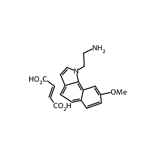 COc1ccc2ccc3ccn(CCN)c3c2c1.O=C(O)C=CC(=O)O